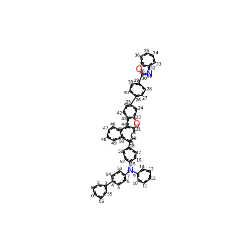 c1ccc(-c2ccc(N(c3ccccc3)c3ccc(-c4cc5oc6cc(-c7ccc(-c8nc9ccccc9o8)cc7)ccc6c5c5ccccc45)cc3)cc2)cc1